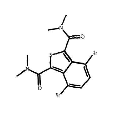 CN(C)C(=O)c1sc(C(=O)N(C)C)c2c(Br)ccc(Br)c12